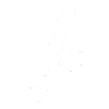 C/C=C(\C#N)C(=O)N1CCCCC1CNc1ncnc2[nH]cc(C(=O)c3ccc(Oc4ccccc4)cc3F)c12